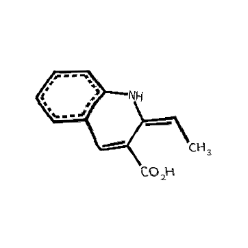 CC=C1Nc2ccccc2C=C1C(=O)O